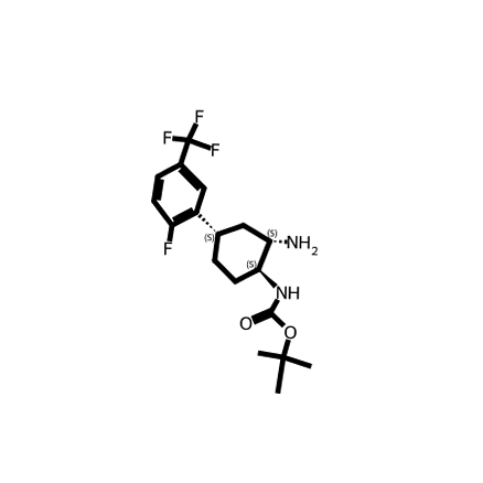 CC(C)(C)OC(=O)N[C@H]1CC[C@H](c2cc(C(F)(F)F)ccc2F)C[C@@H]1N